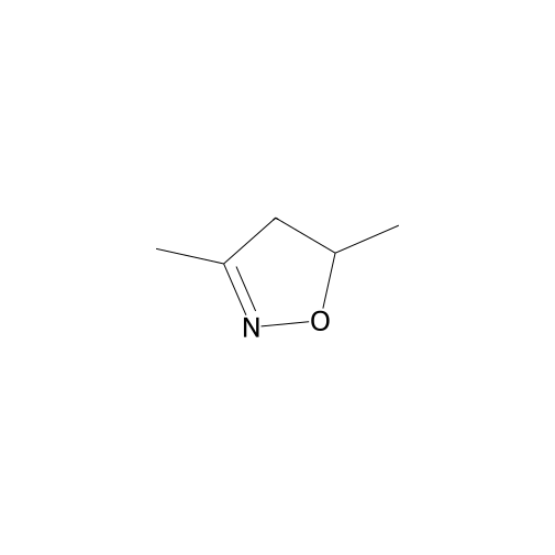 CC1=NOC(C)C1